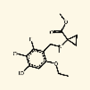 CCOc1cc(O)c(Cl)c(F)c1CNC1(C(=O)OC)CC1